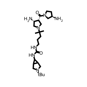 CC(C)(C)N1CC2C(C1)C2NC(=O)NCCCC(C)(C)N1C[C@H](N)[C@H](C(=O)N2CC[C@@H](N)C2)C1